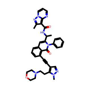 Cc1nn2cccnc2c1C(=O)NC(C)c1cc2cccc(C#Cc3cnn(C)c3CCN3CCOCC3)c2c(=O)n1-c1ccccc1